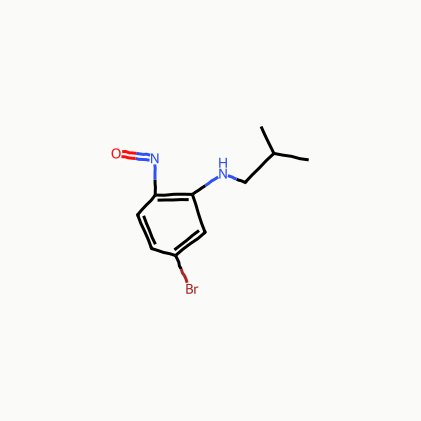 CC(C)CNc1cc(Br)ccc1N=O